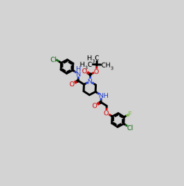 CC(C)(C)OC(=O)N1CC(NC(=O)COc2ccc(Cl)c(F)c2)CCC1C(=O)Nc1ccc(Cl)cc1